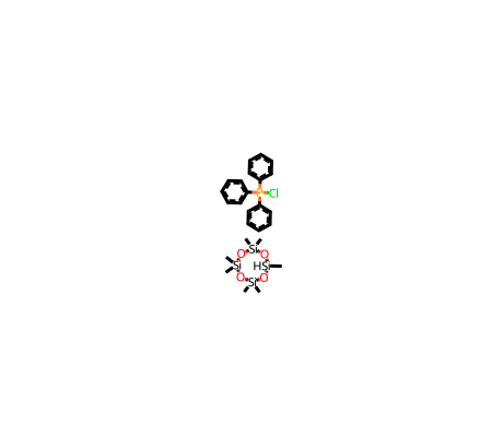 C[SiH]1O[Si](C)(C)O[Si](C)(C)O[Si](C)(C)O1.Cl[P](c1ccccc1)(c1ccccc1)c1ccccc1